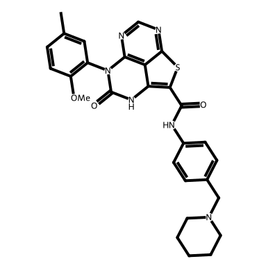 COc1ccc(C)cc1N1C(=O)Nc2c(C(=O)Nc3ccc(CN4CCCCC4)cc3)sc3ncnc1c23